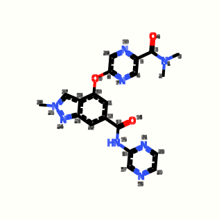 CN(C)C(=O)c1cnc(Oc2cc(C(=O)Nc3cnccn3)cc3nn(C)cc23)cn1